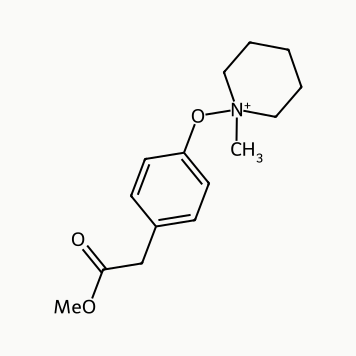 COC(=O)Cc1ccc(O[N+]2(C)CCCCC2)cc1